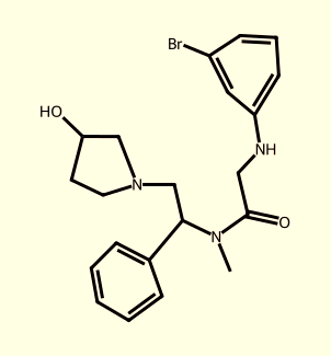 CN(C(=O)CNc1cccc(Br)c1)C(CN1CCC(O)C1)c1ccccc1